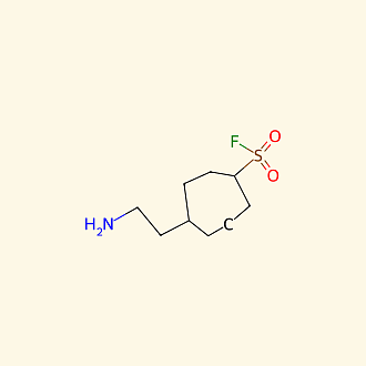 NCCC1CCCC(S(=O)(=O)F)CC1